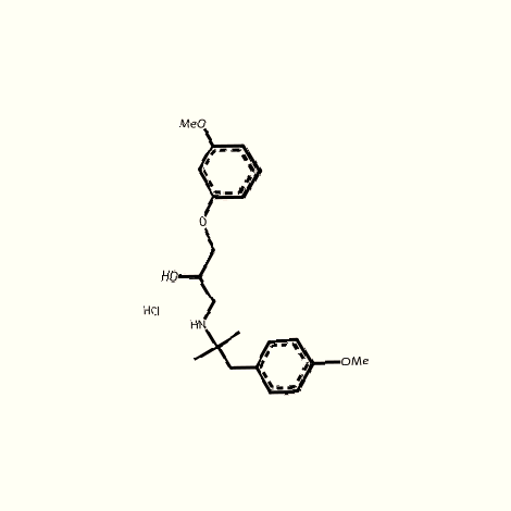 COc1ccc(CC(C)(C)NCC(O)COc2cccc(OC)c2)cc1.Cl